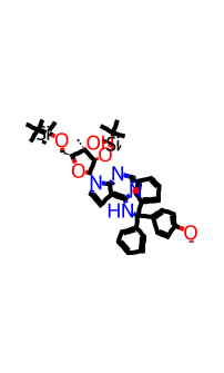 COc1ccc(C(Nc2ncnc3c2ccn3[C@@H]2O[C@H](CO[Si](C)(C)C(C)(C)C)[C@@](C)(O)[C@H]2O[Si](C)(C)C(C)(C)C)(c2ccccc2)c2ccccc2)cc1